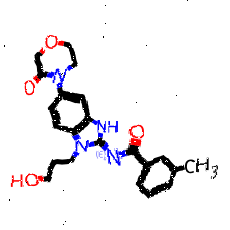 Cc1cccc(C(=O)/N=c2\[nH]c3cc(N4CCOCC4=O)ccc3n2CCCO)c1